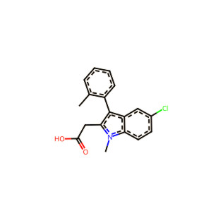 Cc1ccccc1-c1c(CC(=O)O)n(C)c2ccc(Cl)cc12